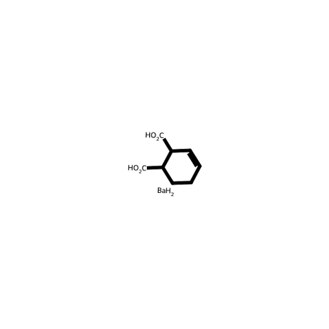 O=C(O)C1C=CCCC1C(=O)O.[BaH2]